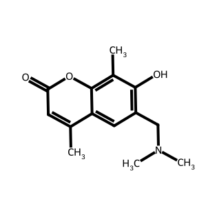 Cc1cc(=O)oc2c(C)c(O)c(CN(C)C)cc12